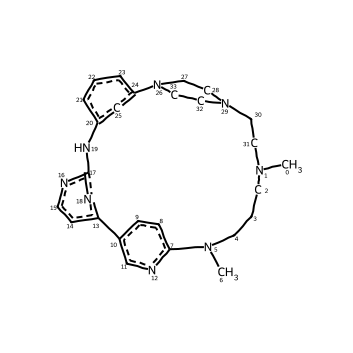 CN1CCCN(C)c2ccc(cn2)-c2ccnc(n2)Nc2cccc(c2)N2CCN(CC1)CC2